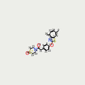 CC1=Cc2sc(Oc3ccc(CC(=O)N4CC[S+]([O-])CC4)cc3)nc2C(C)C=C1